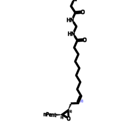 CCCCC[C@H]1O[C@H]1C/C=C\CCCCCCCC(=O)NCNC(=O)CCl